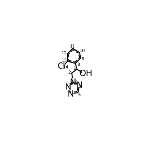 OC(Cn1ncnn1)c1ccccc1Cl